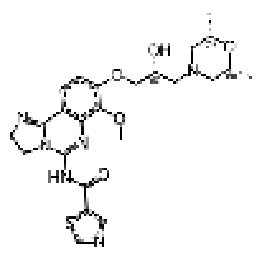 COc1c(OC[C@H](O)CN2C[C@@H](C)O[C@@H](C)C2)ccc2c1N=C(NC(=O)c1cncs1)N1CCN=C21